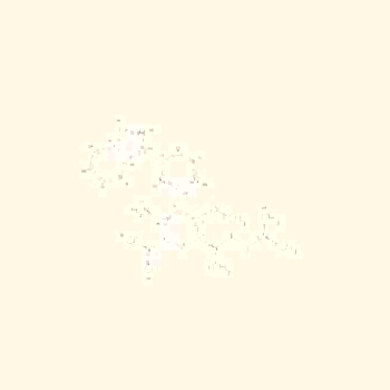 COc1c(N(C)CCN(C)C)cc([N+](=O)[O-])c(N)c1-c1nccc(-c2noc3ccccc23)n1